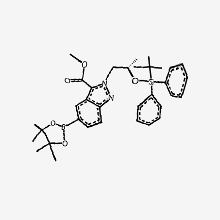 COC(=O)c1c2cc(B3OC(C)(C)C(C)(C)O3)ccc2nn1C[C@H](C)O[Si](c1ccccc1)(c1ccccc1)C(C)(C)C